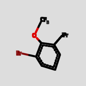 [CH2]C(C)c1cccc(Br)c1OC(F)(F)F